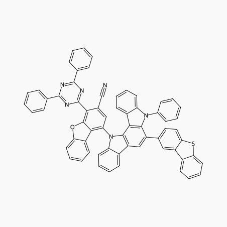 N#Cc1cc(-n2c3ccccc3c3cc(-c4ccc5sc6ccccc6c5c4)c4c(c5ccccc5n4-c4ccccc4)c32)c2c(oc3ccccc32)c1-c1nc(-c2ccccc2)nc(-c2ccccc2)n1